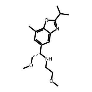 COCCN[C@H](COC)c1cc(C)c2oc(C(C)C)nc2c1